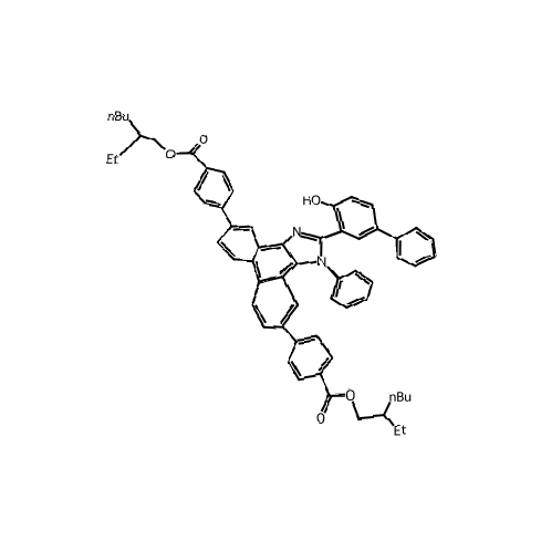 CCCCC(CC)COC(=O)c1ccc(-c2ccc3c4ccc(-c5ccc(C(=O)OCC(CC)CCCC)cc5)cc4c4c(nc(-c5cc(-c6ccccc6)ccc5O)n4-c4ccccc4)c3c2)cc1